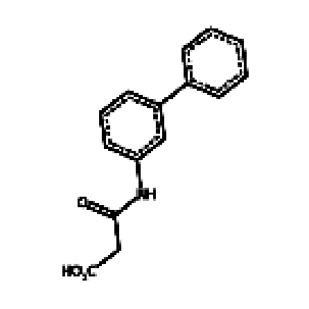 O=C(O)CC(=O)Nc1cccc(-c2ccccc2)c1